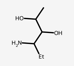 CCC(N)C(O)C(C)O